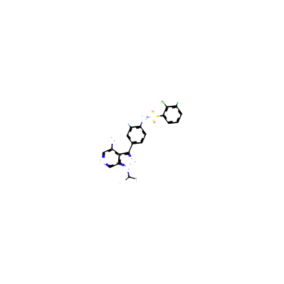 CCC(C(=O)O)n1nc(-c2ccc(NS(=O)(=O)c3cccc(Cl)c3Cl)c(F)c2)c2c(N)cncc21